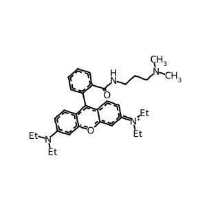 CCN(CC)c1ccc2c(-c3ccccc3C(=O)NCCCN(C)C)c3ccc(=[N+](CC)CC)cc-3oc2c1